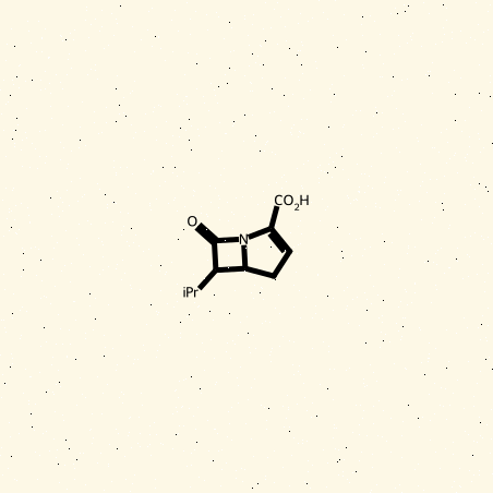 CC(C)C1C(=O)N2C(C(=O)O)=CCC12